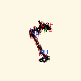 CCCC1O[C@@H]2C[C@H]3[C@@H]4C[C@H](F)C5=CC(=O)C=C[C@]5(C)[C@@]4(F)[C@@H](O)C[C@]3(C)[C@]2(C(=O)COc2ccc(NC(=O)[C@H](C)NC(=O)[C@@H](NC(=O)CCOCCOCCOCCOCCNC(=O)CCC(=O)N3Cc4ccccc4C#Cc4ccccc43)C(C)C)c(OC)c2)O1